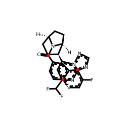 O=C(c1ccc2ncc(F)cc2c1)N1[C@H]2CC[C@H](c3cc(C(F)F)nc4ncnn34)[C@@H]1CC2